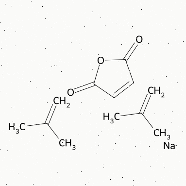 C=C(C)C.C=C(C)C.O=C1C=CC(=O)O1.[Na]